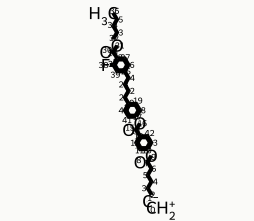 [CH2+][CH-]CCCCCC(=O)Oc1ccc(C(=O)Oc2ccc(CCCCc3ccc(C(=O)OCCCCC)c(F)c3)cc2)cc1